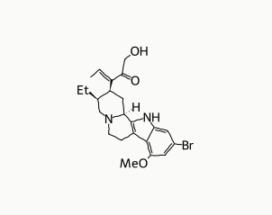 C/C=C(/C(=O)CO)[C@H]1C[C@H]2c3[nH]c4cc(Br)cc(OC)c4c3CCN2C[C@H]1CC